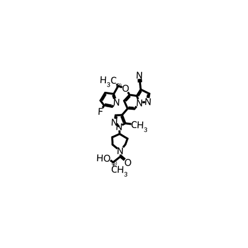 Cc1c(-c2cc(O[C@H](C)c3ccc(F)cn3)c3c(C#N)cnn3c2)cnn1C1CCN(C(=O)[C@H](C)O)CC1